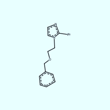 CC(C)c1nccn1CCOCc1ccccc1